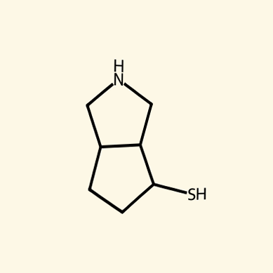 SC1CCC2CNCC12